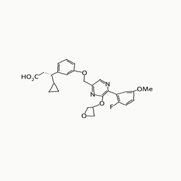 COc1ccc(F)c(-c2ncc(COc3cccc([C@@H](CC(=O)O)C4CC4)c3)nc2OC2COC2)c1